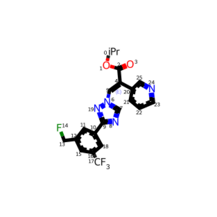 CC(C)OC(=O)/C(=C/n1cnc(-c2cc(CF)cc(C(F)(F)F)c2)n1)c1cccnc1